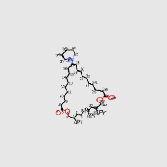 CC(C)CCC(COC(=O)CCCCCCCCCC(CCCCCCCCCC(=O)OCC(CCC(C)C)C(C)C)N1CCCCC1)C(C)C